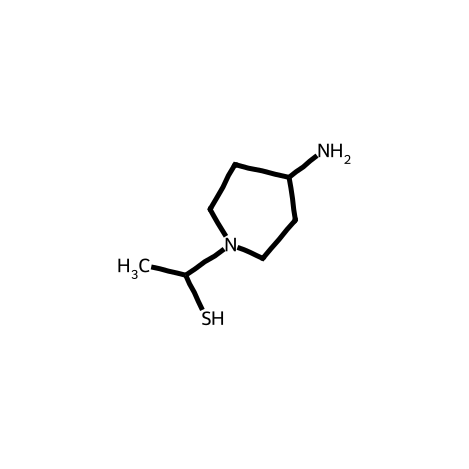 CC(S)N1CCC(N)CC1